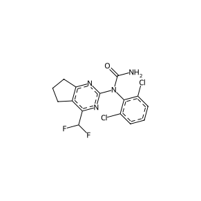 NC(=O)N(c1nc2c(c(C(F)F)n1)CCC2)c1c(Cl)cccc1Cl